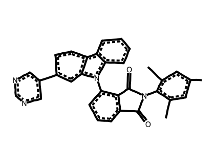 Cc1cc(C)c(N2C(=O)c3cccc(-n4c5ccccc5c5ccc(-c6cncnc6)cc54)c3C2=O)c(C)c1